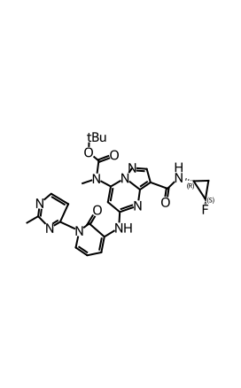 Cc1nccc(-n2cccc(Nc3cc(N(C)C(=O)OC(C)(C)C)n4ncc(C(=O)N[C@@H]5C[C@@H]5F)c4n3)c2=O)n1